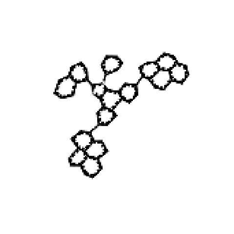 c1ccc(-n2c(-c3cccc4ccccc34)nc3c4cc(-c5ccc6ccc7cccc8ccc5c6c78)ccc4c4ccc(-c5ccc6ccc7cccc8ccc5c6c78)cc4c32)cc1